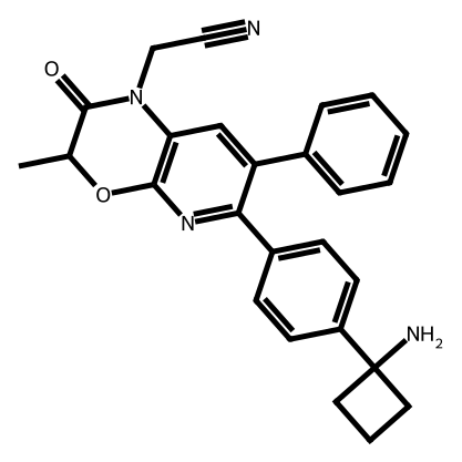 CC1Oc2nc(-c3ccc(C4(N)CCC4)cc3)c(-c3ccccc3)cc2N(CC#N)C1=O